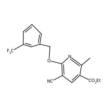 CCOC(=O)c1cc(C#N)c(OCc2cccc(C(F)(F)F)c2)nc1C